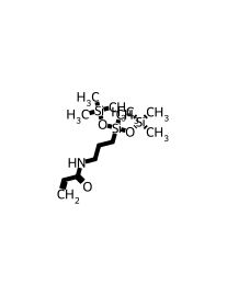 C=CC(=O)NCCC[Si](C)(O[Si](C)(C)C)O[Si](C)(C)C